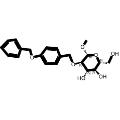 CO[C@@H]1O[C@H](CO)[C@@H](O)[C@H](O)[C@H]1OCc1ccc(OCc2ccccc2)cc1